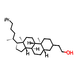 CC(C)CCC[C@@H](C)[C@H]1CC[C@H]2[C@@H]3CC[C@H]4CC(CCO)CC[C@]4(C)[C@H]3CC[C@]12C